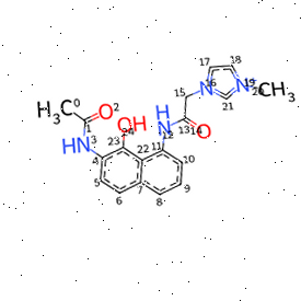 CC(=O)Nc1ccc2cccc(NC(=O)Cn3cc[n+](C)c3)c2c1O